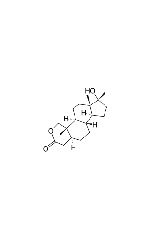 C[C@]12COC(=O)C[C@@H]1CC[C@@H]1[C@@H]2CC[C@@]2(C)[C@H]1CC[C@@]2(C)O